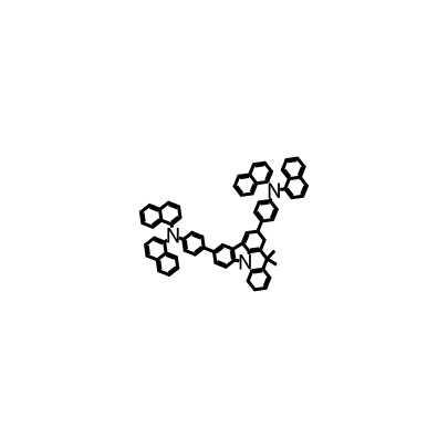 CC1(C)C2=C(CCC=C2)n2c3c(c4cc(-c5ccc(N(c6cccc7ccccc67)c6cccc7ccccc67)cc5)ccc42)=CC(c2ccc(N(c4cccc5ccccc45)c4cccc5ccccc45)cc2)CC=31